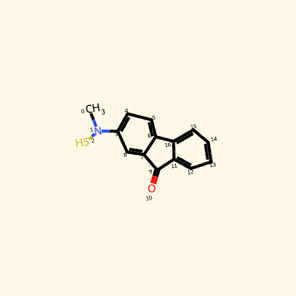 CN(S)c1ccc2c(c1)C(=O)c1ccccc1-2